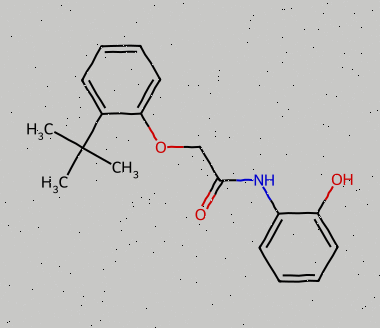 CC(C)(C)c1ccccc1OCC(=O)Nc1ccccc1O